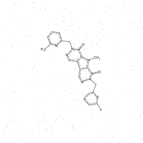 Cc1cccc(Cn2ncc3c4cnn(Cc5cccc(F)n5)c(=O)c4n(C)c3c2=O)n1